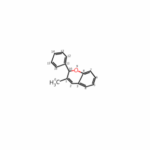 CC1=Cc2ccccc2OC1c1ccccc1